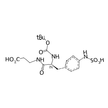 CC(C)(C)OC(=O)N[C@@H](Cc1ccc(NS(=O)(=O)O)cc1)C(=O)NCCC(=O)O